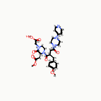 COC(=O)C[C@H]1C(=O)N(CC(=O)O)CCN1C(=O)C(CC(=O)N1CCN(c2ccncc2)CC1)Cc1ccc(OC)cc1